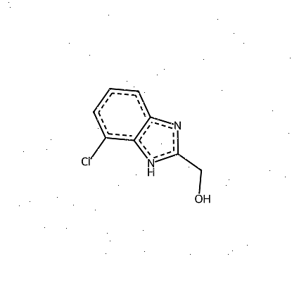 OCc1nc2cccc(Cl)c2[nH]1